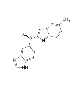 Cc1ccc2nc([C@H](C)c3ccc4[nH]cnc4c3)cn2c1